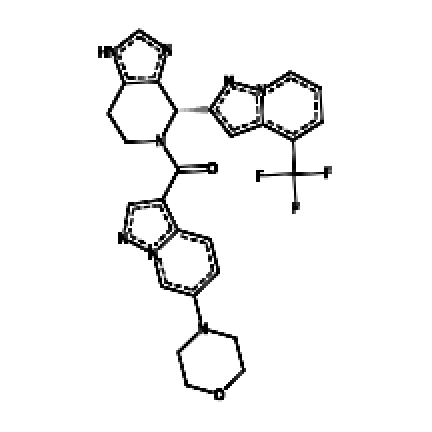 O=C(c1cnn2cc(N3CCOCC3)ccc12)N1CCc2[nH]cnc2[C@@H]1c1cc2c(C(F)(F)F)cccn2n1